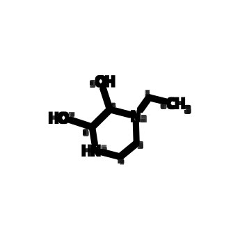 CCN1CCNC(O)C1O